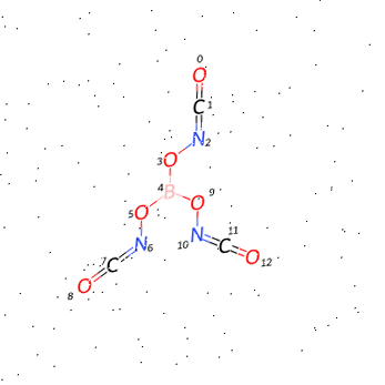 O=C=NOB(ON=C=O)ON=C=O